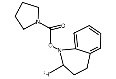 [2H]C1CCc2ccccc2N1OC(=O)N1CCCC1